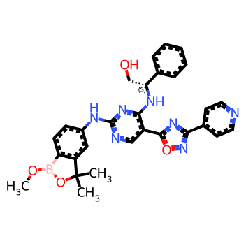 COB1OC(C)(C)c2cc(Nc3ncc(-c4nc(-c5ccncc5)no4)c(N[C@H](CO)c4ccccc4)n3)ccc21